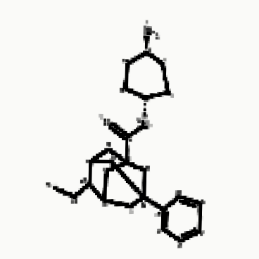 N[C@H]1CC[C@H](NC(=O)C23CC4CC(c5ccccc5)(CC(C2)C4CF)C3)CC1